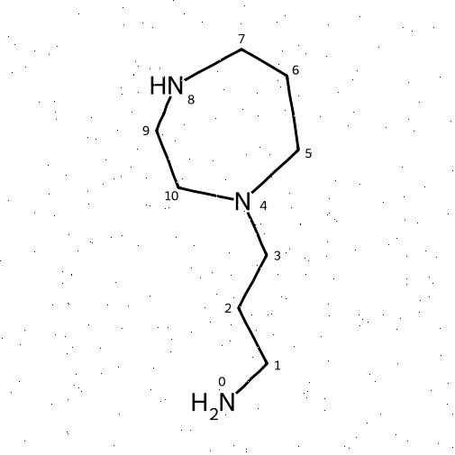 NCCCN1CCCNCC1